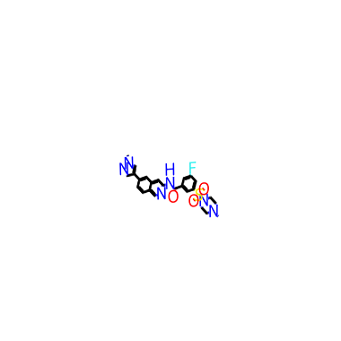 CN1CCN(S(=O)(=O)c2cc(F)cc(C(=O)Nc3cc4cc(-c5cnn(C)c5)ccc4cn3)c2)CC1